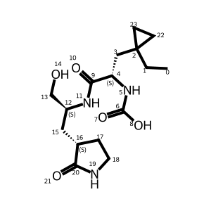 CCC1(C[C@H](NC(=O)O)C(=O)N[C@H](CO)C[C@@H]2CCNC2=O)CC1